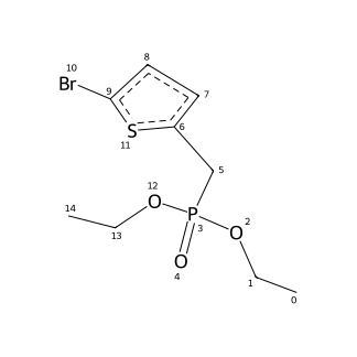 CCOP(=O)(Cc1ccc(Br)s1)OCC